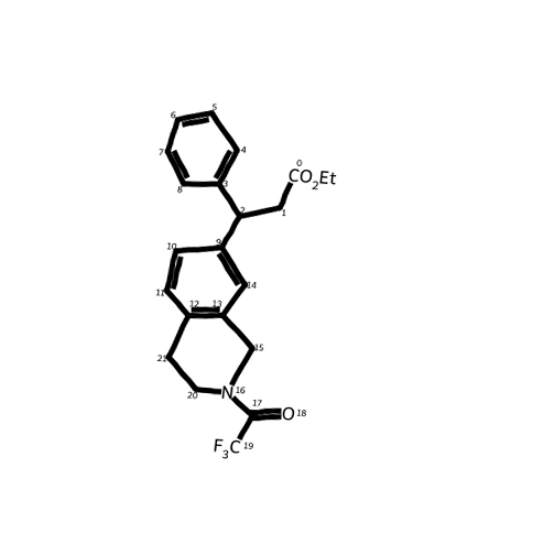 CCOC(=O)CC(c1ccccc1)c1ccc2c(c1)CN(C(=O)C(F)(F)F)CC2